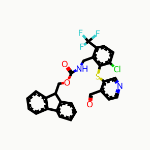 O=Cc1ccncc1Sc1c(Cl)ccc(C(F)(F)F)c1CNC(=O)OCC1c2ccccc2-c2ccccc21